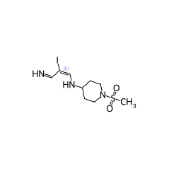 CS(=O)(=O)N1CCC(N/C=C(/I)C=N)CC1